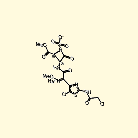 CON=C(C(=O)N[C@@H]1C(=O)N(S(=O)(=O)[O-])[C@@H]1C(=O)OC)c1nc(NC(=O)CCl)sc1Cl.[Na+]